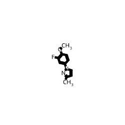 COc1ccc(-n2ccc(C)n2)cc1F